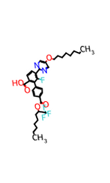 CCCCCCCCOc1cnc(-c2ccc(C(=O)O)c(-c3ccc(C(=O)OC(CCCCCC)C(F)(F)F)cc3)c2F)nc1